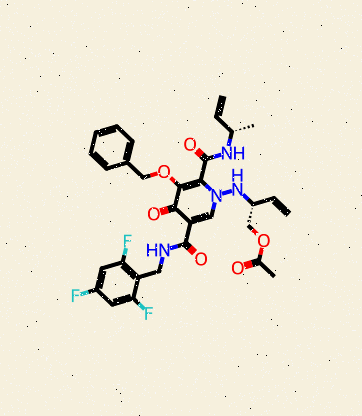 C=C[C@H](COC(C)=O)Nn1cc(C(=O)NCc2c(F)cc(F)cc2F)c(=O)c(OCc2ccccc2)c1C(=O)N[C@@H](C)C=C